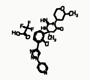 C[C@H]1C[C@@H](N2C(=N)N[C@](C)(c3cccc(-c4cn(-c5ccncc5)nn4)c3Cl)CC2=O)CCO1.O=C(O)C(F)(F)F